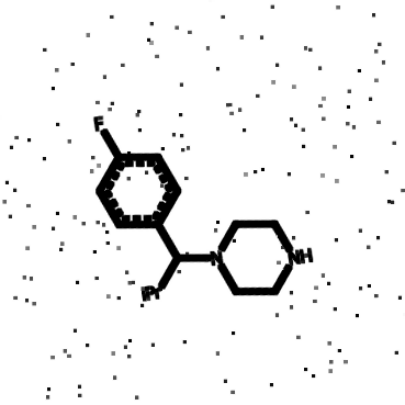 CC(C)C(c1ccc(F)cc1)N1CCNCC1